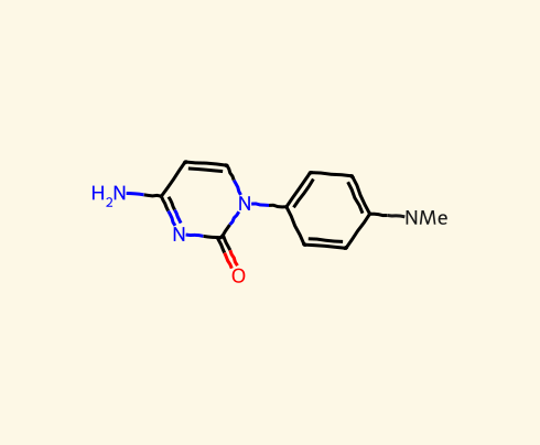 CNc1ccc(-n2ccc(N)nc2=O)cc1